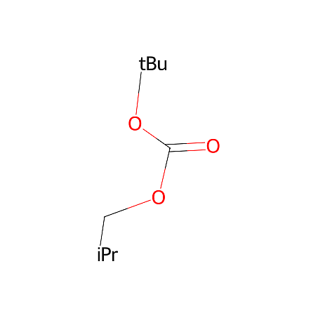 [CH2]C(C)COC(=O)OC(C)(C)C